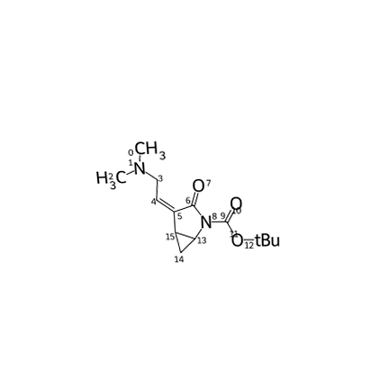 CN(C)C/C=C1\C(=O)N(C(=O)OC(C)(C)C)C2CC12